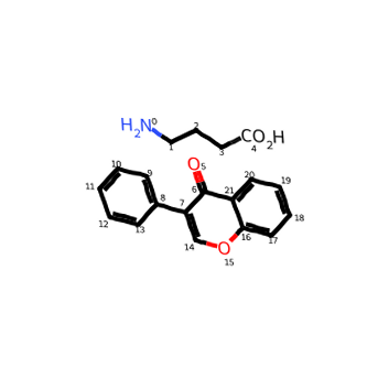 NCCCC(=O)O.O=c1c(-c2ccccc2)coc2ccccc12